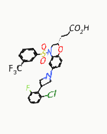 O=C(O)CC[C@H]1CN(S(=O)(=O)c2cccc(C(F)(F)F)c2)c2cc(N3CC(c4c(F)cccc4Cl)C3)ccc2O1